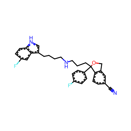 N#Cc1ccc2c(c1)COC2(CCCNCCCCc1c[nH]c2ccc(F)cc12)c1ccc(F)cc1